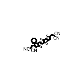 N#CC(C#N)=CC1=Cc2sc3c(sc4c5sc(C=C(C#N)C#N)cc5sc34)c2C12CCCCC2